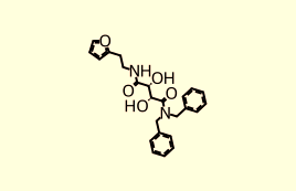 O=C(NCCc1ccco1)[C@H](O)[C@@H](O)C(=O)N(Cc1ccccc1)Cc1ccccc1